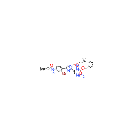 COC(=O)Nc1ccc(-c2cn(COCC[Si](C)(C)C)c([C@H](CN)NC(=O)OCc3ccccc3)n2)c(Br)c1